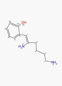 NCCCCC(N)=Cc1ccccc1O